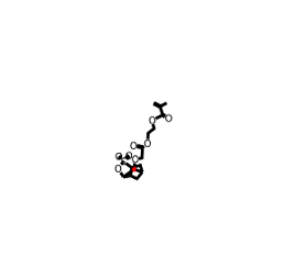 C=C(C)C(=O)OCCOC(=O)COC1C2CC3C1OS(=O)(=O)C3C2